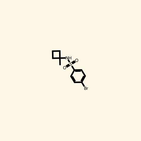 CC1(NS(=O)(=O)c2ccc(Br)cc2)CCC1